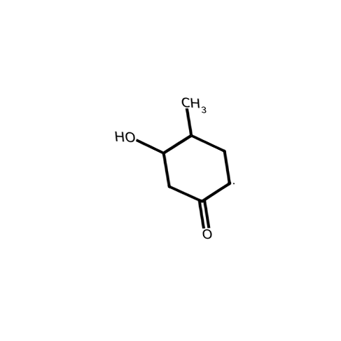 CC1C[CH]C(=O)CC1O